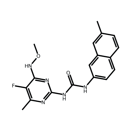 CONc1nc(NC(=O)Nc2ccc3ccc(C)cc3c2)nc(C)c1F